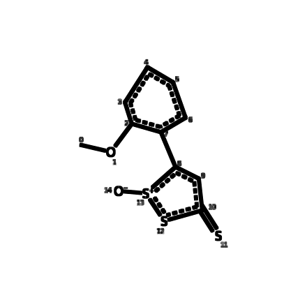 COc1ccccc1-c1cc(=S)s[s+]1[O-]